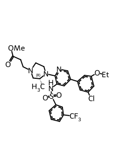 CCOc1cc(Cl)cc(-c2cnc(N3CCN(CCC(=O)OC)C[C@H]3C)c(NS(=O)(=O)c3cccc(C(F)(F)F)c3)c2)c1